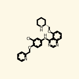 Clc1cc(Nc2ncnc3cccc(OC[C@H]4CCCCN4)c23)ccc1OCc1ccccn1